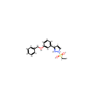 CCS(=O)(=O)n1ccc(-c2cccc(OCc3ccccc3)c2)n1